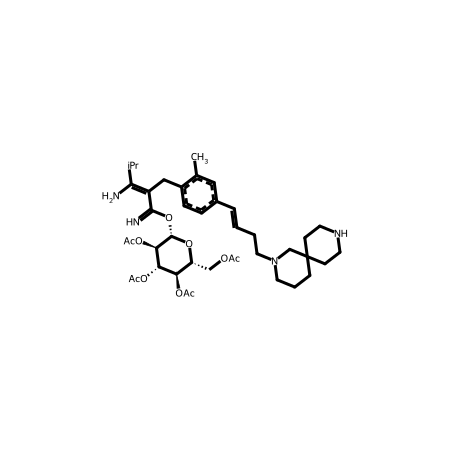 CC(=O)OC[C@H]1O[C@@H](OC(=N)/C(Cc2ccc(/C=C/CCN3CCCC4(CCNCC4)C3)cc2C)=C(\N)C(C)C)[C@H](OC(C)=O)[C@@H](OC(C)=O)[C@@H]1OC(C)=O